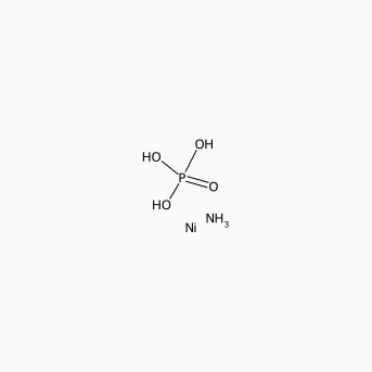 N.O=P(O)(O)O.[Ni]